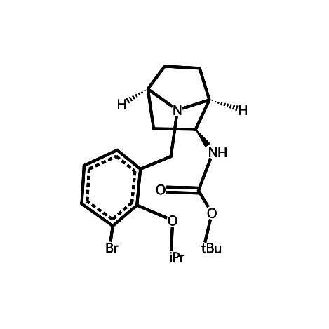 CC(C)Oc1c(Br)cccc1CN1[C@@H]2CC[C@H]1[C@@H](NC(=O)OC(C)(C)C)C2